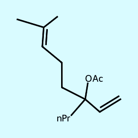 C=CC(CCC)(CCC=C(C)C)OC(C)=O